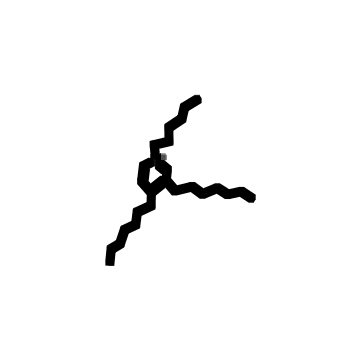 CCCCCCCc1cc[n+](CCCCCC)cc1CCCCCCC